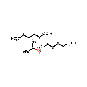 CCCCC(O)CCCC.O=C(O)CCCCC(=O)O.O=C(O)CCCCC(=O)O